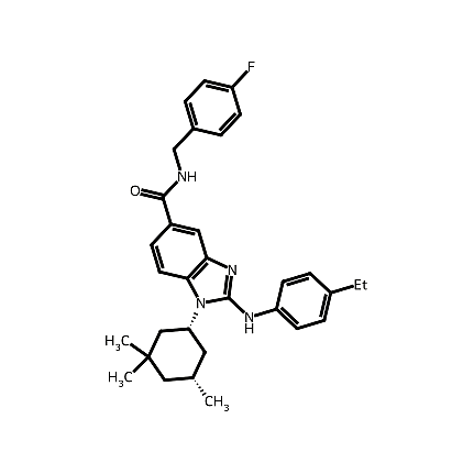 CCc1ccc(Nc2nc3cc(C(=O)NCc4ccc(F)cc4)ccc3n2[C@@H]2C[C@H](C)CC(C)(C)C2)cc1